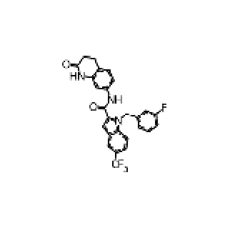 O=C1CCc2ccc(NC(=O)c3cc4cc(C(F)(F)F)ccc4n3Cc3cccc(F)c3)cc2N1